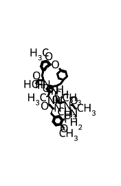 COc1ccc(C[C@@H](C(=O)N[C@@H](C)C(=O)N(C)[C@H]2CC3CC=C(CC3)Oc3cc(ccc3OC)C[C@@H](C(=O)O)NC2=O)N(C)C(=O)[C@H](C)NC(=O)[C@@H](C)N)cc1F